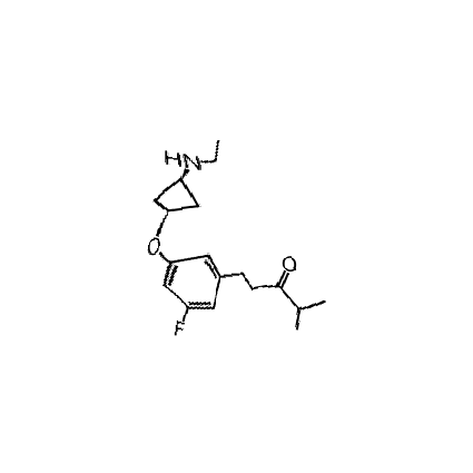 CCN[C@H]1C[C@@H](Oc2cc(F)cc(CCC(=O)C(C)C)c2)C1